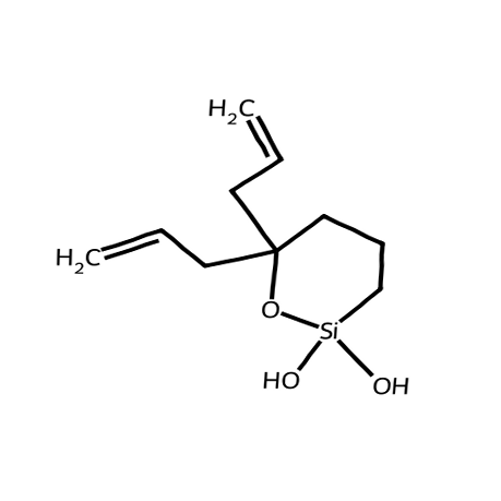 C=CCC1(CC=C)CCC[Si](O)(O)O1